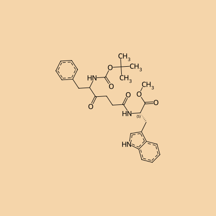 COC(=O)[C@H](Cc1c[nH]c2ccccc12)NC(=O)CCC(=O)C(Cc1ccccc1)NC(=O)OC(C)(C)C